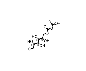 O=C(O)OC(=O)OC[C@@H](O)[C@H](O)[C@@H](O)[C@H](O)CO